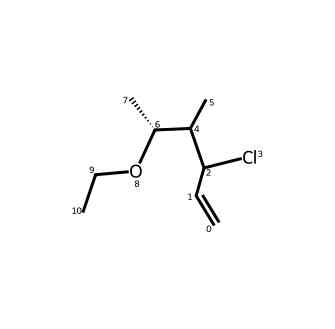 C=CC(Cl)C(C)[C@@H](C)OCC